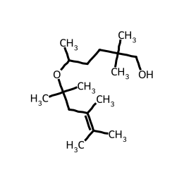 CC(C)=C(C)CC(C)(C)OC(C)CCC(C)(C)CO